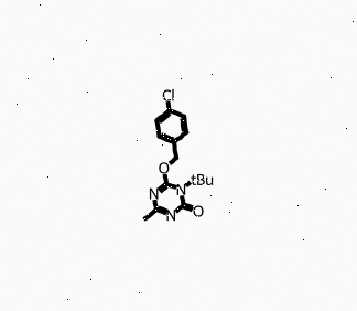 Cc1nc(OCc2ccc(Cl)cc2)n(C(C)(C)C)c(=O)n1